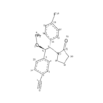 C#Cc1ccc([C@@H](OCCC)[C@H](c2ccc(F)cc2)N2CCCC2=O)cc1